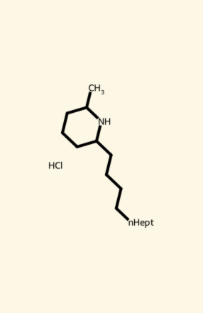 CCCCCCCCCCCC1CCCC(C)N1.Cl